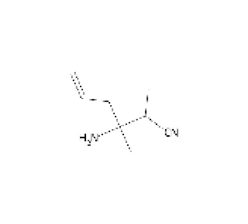 C=CCC(C)(N)C(C)C#N